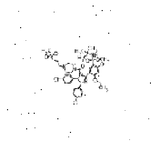 CCOc1cc(OC)c(S(=O)(=O)NC(C)(C)C)cc1C1=N[C@@H](c2ccc(Cl)cc2)[C@@H](c2ccc(Cl)cc2)N1C(=O)N1CCN(CCCS(C)(=O)=O)CC1